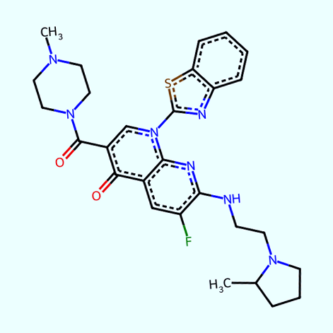 CC1CCCN1CCNc1nc2c(cc1F)c(=O)c(C(=O)N1CCN(C)CC1)cn2-c1nc2ccccc2s1